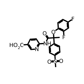 CC(Oc1ccc(F)cc1F)(C(=O)Nc1ccc(C(=O)O)cn1)c1ccc(S(C)(=O)=O)cc1